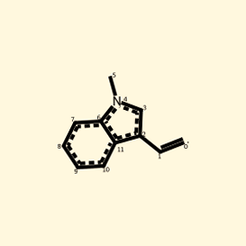 [CH]=Cc1cn(C)c2ccccc12